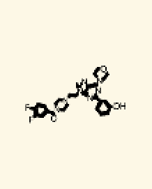 O=C(c1ccc(F)c(F)c1)N1CCN(CCn2nnc3c(N4CCOCC4)nc(-c4cccc(O)c4)nc32)CC1